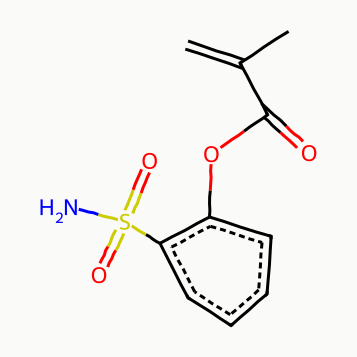 C=C(C)C(=O)Oc1ccccc1S(N)(=O)=O